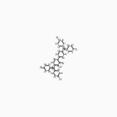 Cc1ccc(N(c2ccc(C)cc2)c2ccc(-c3ccc(N(c4ccc(C)cc4)c4ccc(C)cc4)c(C)c3C)cc2)cc1